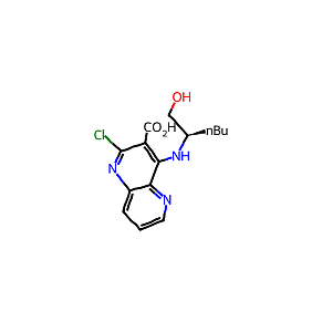 CCCC[C@H](CO)Nc1c(C(=O)O)c(Cl)nc2cccnc12